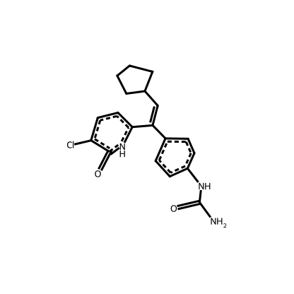 NC(=O)Nc1ccc(C(=CC2CCCC2)c2ccc(Cl)c(=O)[nH]2)cc1